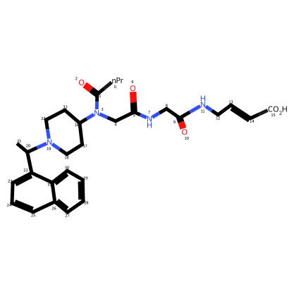 CCCC(=O)N(CC(=O)NCC(=O)NC/C=C/C(=O)O)C1CCN(C(C)c2cccc3ccccc23)CC1